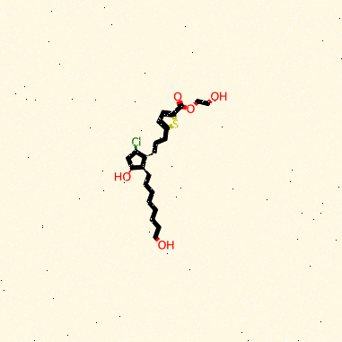 O=C(OCCO)c1ccc(CCC[C@@H]2[C@@H](CCCCCCCCO)[C@H](O)C[C@H]2Cl)s1